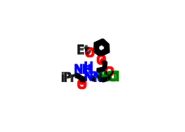 CCOc1ccccc1OCC1CN(CNC(=O)C(N)C(C)C)CCO1.Cl.Cl